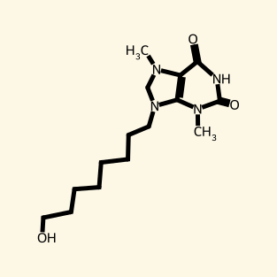 CN1CN(CCCCCCCCO)c2c1c(=O)[nH]c(=O)n2C